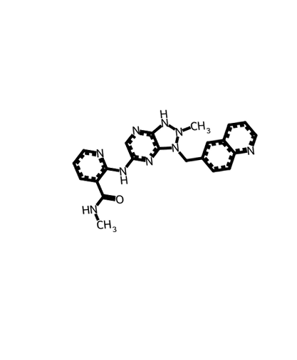 CNC(=O)c1cccnc1Nc1cnc2c(n1)N(Cc1ccc3ncccc3c1)N(C)N2